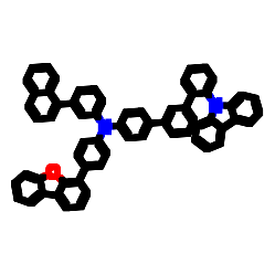 c1cc(-c2ccc(N(c3ccc(-c4cccc5c4oc4ccccc45)cc3)c3cccc(-c4cccc5ccccc45)c3)cc2)cc(-c2ccccc2-n2c3ccccc3c3ccccc32)c1